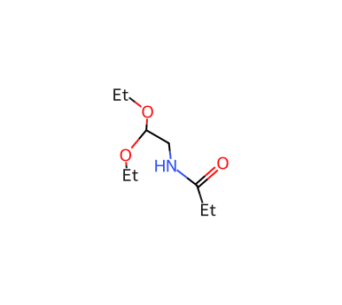 CCOC(CNC(=O)CC)OCC